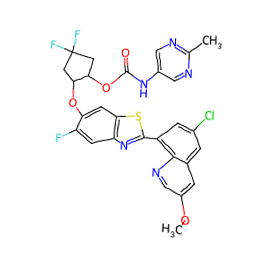 COc1cnc2c(-c3nc4cc(F)c(OC5CC(F)(F)CC5OC(=O)Nc5cnc(C)nc5)cc4s3)cc(Cl)cc2c1